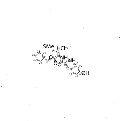 CSCC[C@H](NC(=O)[C@H](N)Cc1ccc(O)cc1)C(=O)OCc1ccccc1.Cl